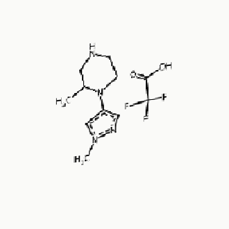 CC1CNCCN1c1cnn(C)c1.O=C(O)C(F)(F)F